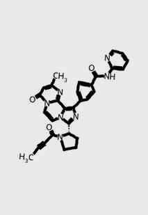 CC#CC(=O)N1CCC[C@H]1c1nc(-c2ccc(C(=O)Nc3ccccn3)cc2)c2c3nc(C)cc(=O)n3ccn12